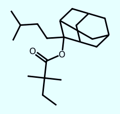 CCC(C)(C)C(=O)OC1(CCC(C)C)C2CC3CC(C2)CC1C3